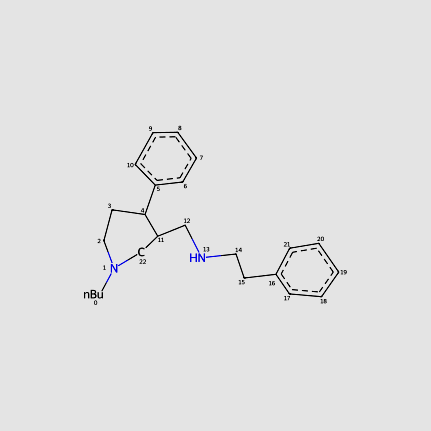 CCCCN1CCC(c2ccccc2)C(CNCCc2ccccc2)C1